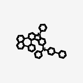 c1ccc(-c2ccc(N(c3ccccc3)c3ccc4c(c3)c3c5c(ccc3n4-c3ccccc3)-c3cccc4cccc(c34)-c3ccccc3-5)cc2)cc1